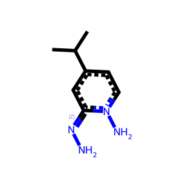 CC(C)c1ccn(N)/c(=N\N)c1